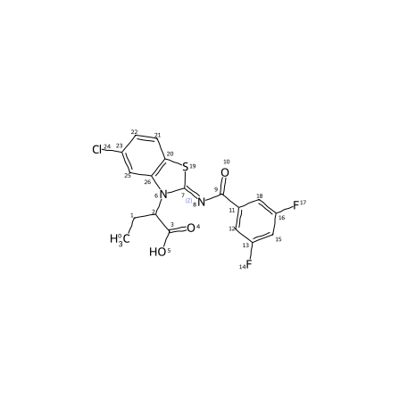 CCC(C(=O)O)n1/c(=N/C(=O)c2cc(F)cc(F)c2)sc2ccc(Cl)cc21